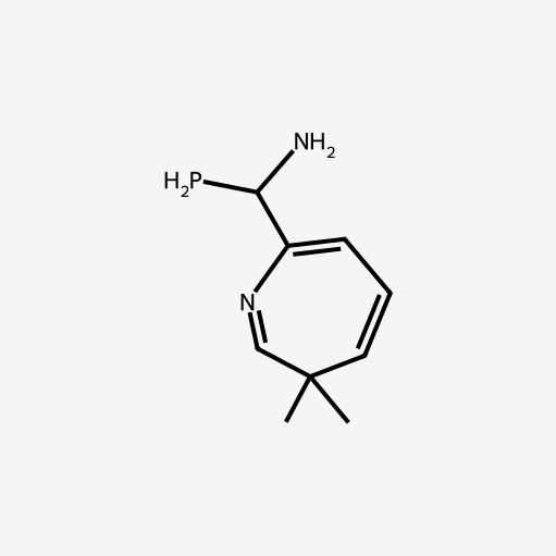 CC1(C)C=CC=C(C(N)P)N=C1